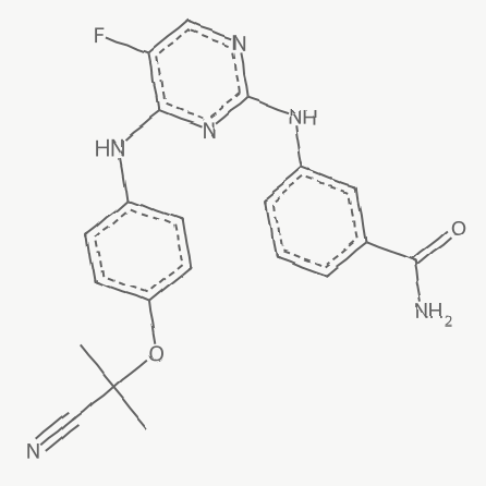 CC(C)(C#N)Oc1ccc(Nc2nc(Nc3cccc(C(N)=O)c3)ncc2F)cc1